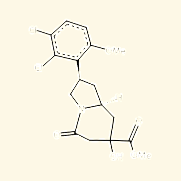 COC(=O)C1(O)CC(=O)N2C[C@@H](c3c(OC)ccc(Cl)c3Cl)C[C@H]2C1